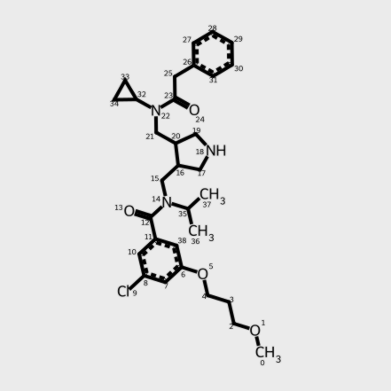 COCCCOc1cc(Cl)cc(C(=O)N(CC2CNCC2CN(C(=O)Cc2ccccc2)C2CC2)C(C)C)c1